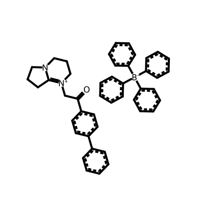 O=C(C[N+]1=C2CCCN2CCC1)c1ccc(-c2ccccc2)cc1.c1ccc([B-](c2ccccc2)(c2ccccc2)c2ccccc2)cc1